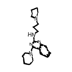 c1ccc2c(N3CCCCC3)nc(NCCCN3CCCC3)nc2c1